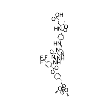 C#COP(=O)(OC#C)OCCc1ccc(OC(=O)c2ccc(C(F)(F)F)cc2Nc2nc(=O)c3nc(CNc4ccc(C(=O)N[C@@H](CCC(=O)O)C(C)=O)cc4)cnc3[nH]2)cc1